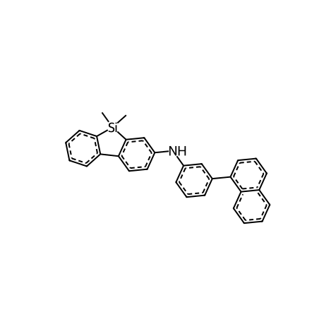 C[Si]1(C)c2ccccc2-c2ccc(Nc3cccc(-c4cccc5ccccc45)c3)cc21